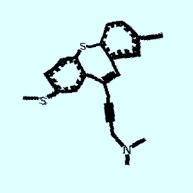 CSc1ccc2c(c1)C(C#CCN(C)C)=Cc1cc(C)ccc1S2